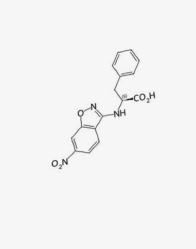 O=C(O)[C@H](Cc1ccccc1)Nc1noc2cc([N+](=O)[O-])ccc12